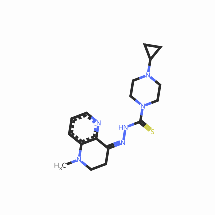 CN1CC/C(=N/NC(=S)N2CCN(C3CC3)CC2)c2ncccc21